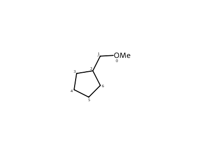 CO[CH]C1CCCC1